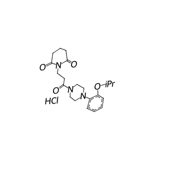 CC(C)Oc1ccccc1N1CCN(C(=O)CCN2C(=O)CCCC2=O)CC1.Cl